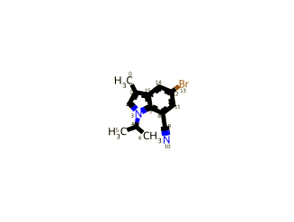 Cc1cn(C(C)C)c2c(C#N)cc(Br)cc12